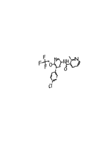 Cc1ncccc1C(=O)Nc1cnc(OCC(F)(F)F)c(-c2ccc(Cl)cc2)c1